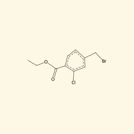 CCOC(=O)c1ccc(CBr)cc1Cl